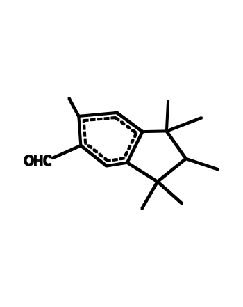 Cc1cc2c(cc1C=O)C(C)(C)C(C)C2(C)C